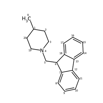 CC1CCN(CC2c3ccccc3-c3ccccc32)CC1